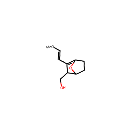 COC=CC1=C2CCC(O2)C1CO